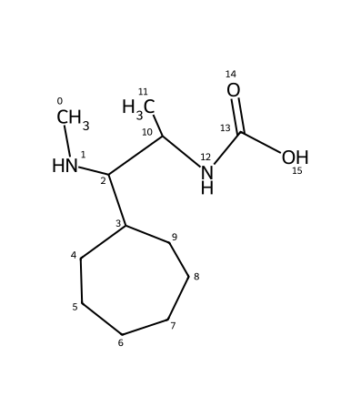 CNC(C1CCCCCC1)C(C)NC(=O)O